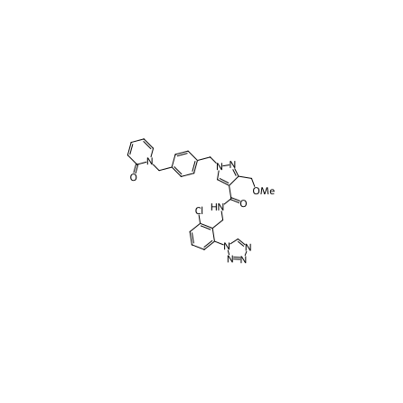 COCc1nn(Cc2ccc(Cn3ccccc3=O)cc2)cc1C(=O)NCc1c(Cl)cccc1-n1cnnn1